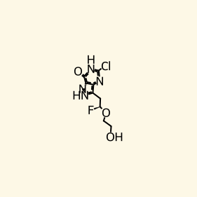 O=c1[nH]c(Cl)nc2c(C[C@H](F)OCCO)[nH]nc12